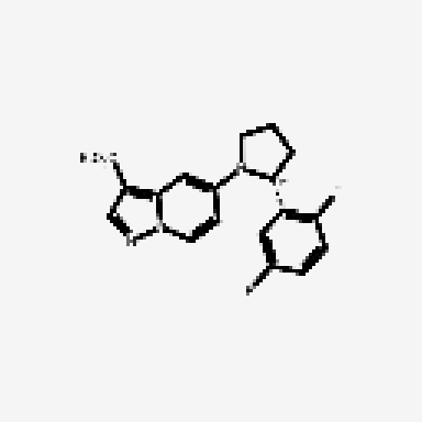 CCOC(=O)c1cnn2ccc(N3CCC[C@@H]3c3cc(F)ccc3F)cc12